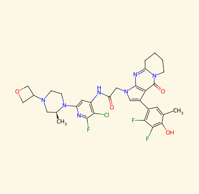 Cc1cc(-c2cn(CC(=O)Nc3cc(N4CCN(C5COC5)C[C@@H]4C)nc(F)c3Cl)c3nc4n(c(=O)c23)CCCC4)c(F)c(F)c1O